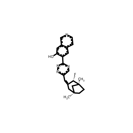 C[C@@]12CC[C@@](C)(C1)[C@@H](F)/C(=C\c1cnc(-c3cc4ccncc4cc3O)nn1)C2